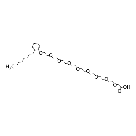 CCCCCCCCc1ccccc1OCCOCCOCCOCCOCCOCCOCCOCCOCC(=O)O